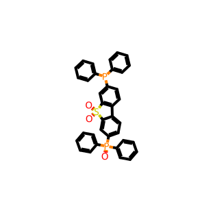 O=P(c1ccccc1)(c1ccccc1)c1ccc2c(c1)S(=O)(=O)c1cc(P(c3ccccc3)c3ccccc3)ccc1-2